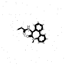 CCC(=O)NC1C(=O)N(C)c2ccccc2-c2ccccc21